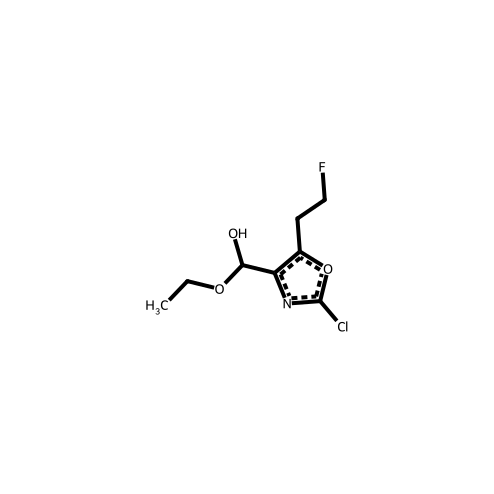 CCOC(O)c1nc(Cl)oc1CCF